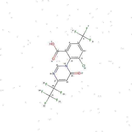 O=C(O)c1cc(C(F)(F)F)cc(Cl)c1-n1cnc(C(F)(F)C(F)(F)F)cc1=O